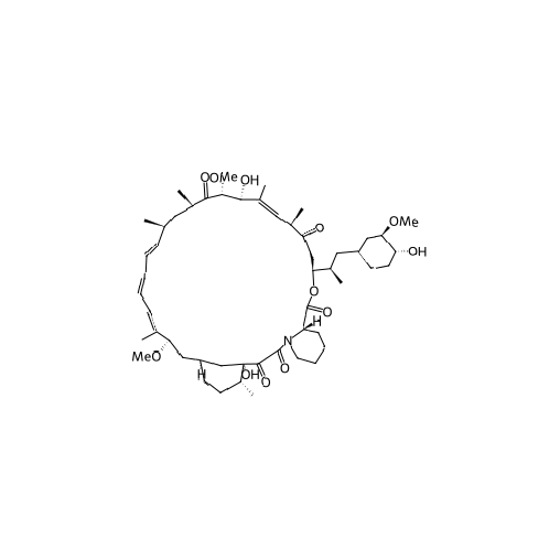 CO[C@H]1C[C@@H]2CC[C@@H](C)[C@@](O)(C2)C(=O)C(=O)N2CCCC[C@H]2C(=O)O[C@H]([C@H](C)CC2CC[C@@H](O)[C@H](OC)C2)CC(=O)[C@H](C)/C=C(\C)[C@@H](O)[C@@H](OC)C(=O)[C@H](C)C[C@H](C)/C=C/C=C/C=C/1C